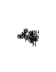 CCC[C@H](NC(=O)C1CC(Oc2cc(-c3ccccc3)nc3cc(OC)ccc23)C=C1C(=O)N[C@H](C(=O)N[C@@H](C)C(=O)OC)C(C)C)C(=O)O